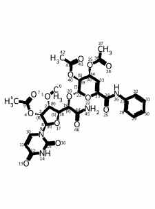 CO[C@H]1[C@@H](OC(C)=O)[C@H](n2ccc(=O)[nH]c2=O)O[C@@H]1[C@@H](O[C@H]1OC(C(=O)Nc2ccccc2)=C[C@H](OC(C)=O)[C@@H]1OC(C)=O)C(N)=O